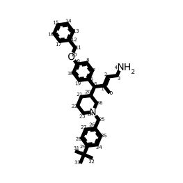 CC(=CCN)C(c1ccc(OCc2ccccc2)cc1)C1CCCN(Cc2ccc(C(C)(C)C)cc2)C1